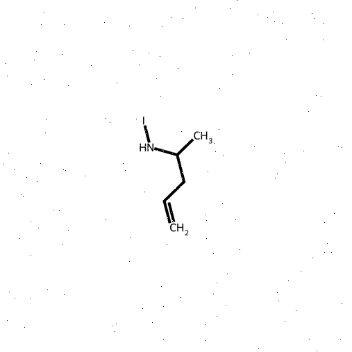 C=CCC(C)NI